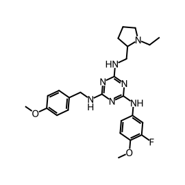 CCN1CCCC1CNc1nc(NCc2ccc(OC)cc2)nc(Nc2ccc(OC)c(F)c2)n1